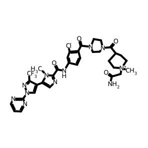 Cn1c(-c2cn(-c3ncccn3)nc2C(F)(F)F)cnc1C(=O)Nc1ccc(C(=O)N2CCN(C(=O)C3CC[N+](C)(CC(N)=O)CC3)CC2)c(Cl)c1